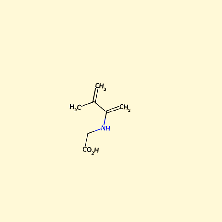 C=C(C)C(=C)NCC(=O)O